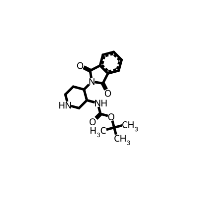 CC(C)(C)OC(=O)NC1CNCCC1N1C(=O)c2ccccc2C1=O